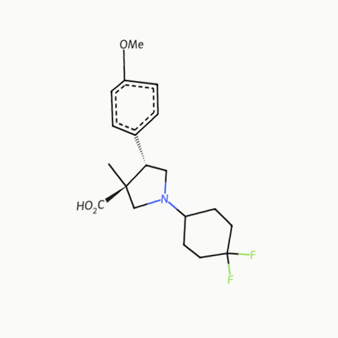 COc1ccc([C@@H]2CN(C3CCC(F)(F)CC3)C[C@@]2(C)C(=O)O)cc1